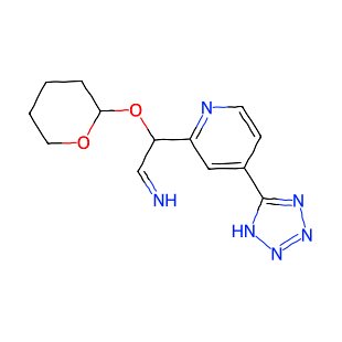 N=CC(OC1CCCCO1)c1cc(-c2nnn[nH]2)ccn1